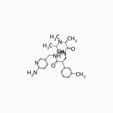 Cc1cccc([C@H](CNC(=O)[C@H](C)N(C)C(C)C)C(=O)NCc2ccc(N)nc2)c1